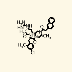 CC(=O)N[C@H](Cc1ccc(Cl)cc1C)C(=O)N1C[C@@H](C)N(C(=O)Cc2ccc3ccccc3c2)C[C@@H]1CCCNC(=N)N